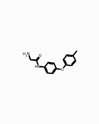 Cc1ccc(Oc2ccc(NC(=O)CN)cc2)cc1